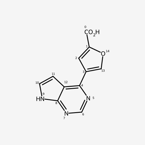 O=C(O)c1cc(-c2ncnc3[nH]ccc23)co1